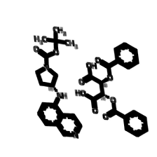 CC(C)(C)OC(=O)N1CC[C@@H](Nc2cccc3cnccc23)C1.O=C(O[C@H](C(=O)O)[C@H](OC(=O)c1ccccc1)C(=O)O)c1ccccc1